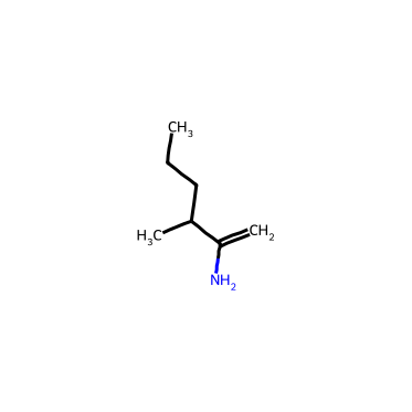 C=C(N)C(C)CCC